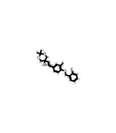 CC(=O)NC1(/C=C/c2ccc(OCc3ccccc3F)c(C)c2)COC(C)(C)OC1